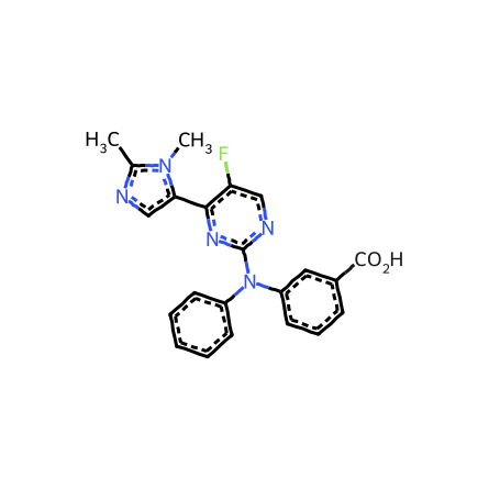 Cc1ncc(-c2nc(N(c3ccccc3)c3cccc(C(=O)O)c3)ncc2F)n1C